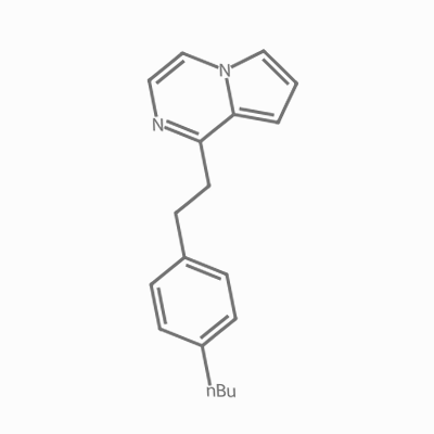 CCCCc1ccc(CCc2nccn3cccc23)cc1